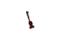 O=C(OCCCCCCCCCCCCCCCCBr)C(F)(F)S(=O)(=O)[O-].c1ccc([S+](c2ccccc2)c2ccccc2)cc1